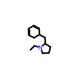 CCN1CCCC1CC1C=CC=CC1